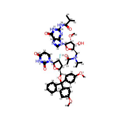 COc1ccc(C(OC[C@H]2O[C@@H](n3ccc(=O)[nH]c3=O)[C@H](F)[C@@H]2CC(=O)N(C[C@H]2O[C@@H](n3cnc4c(=O)[nH]c(NC(=O)C(C)C)nc43)[C@H](OC)[C@@H]2O)C(C)C)(c2ccccc2)c2ccc(OC)cc2)cc1